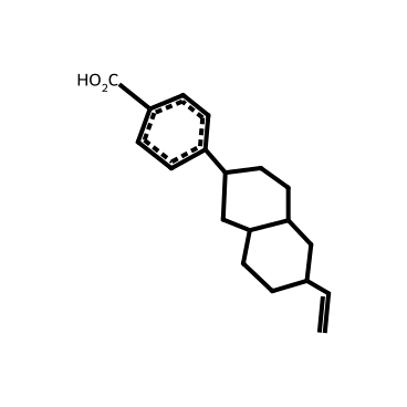 C=CC1CCC2CC(c3ccc(C(=O)O)cc3)CCC2C1